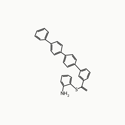 C=C(Sc1ccccc1N)c1cccc(-c2ccc(-c3ccc(-c4ccccc4)cc3)cc2)c1